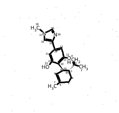 C=C(C)[C@@H]1CCC(C)=C[C@H]1c1c(O)cc(-c2cn(C)cn2)cc1O